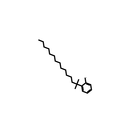 [CH2]c1ccccc1C(C)(C)CCCCCCCCCCCCC